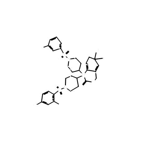 CC1(C)C=C2COC(=O)[N+](C3CCN(S(=O)(=O)c4cccc(F)c4)CC3)(C3CCN(S(=O)(=O)c4ccc(Cl)cc4Cl)CC3)C2=CC1